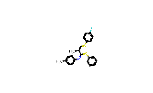 CC(=CSc1ccc(F)cc1)C(=Nc1ccc(C)cc1)Sc1ccccc1